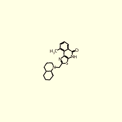 Cc1cccc2c(=O)[nH]c3sc(CN4CCCC5CCCCC54)nc3c12